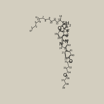 CCCCCC(C)CCCCCCC(C)[SiH2]C1Oc2ccc(-c3ncc(-c4ccc(OCCCCOCCCC)cc4)cn3)c(F)c2C1(F)F